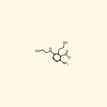 Nc1ccc(NCCO)c(CCO)c1[N+](=O)[O-]